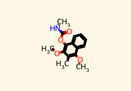 CNC(=O)Oc1c(OC)c(C)c(OC)c2ccccc12